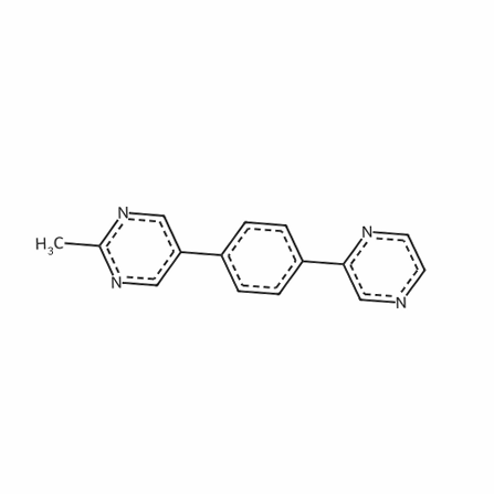 Cc1ncc(-c2ccc(-c3cnccn3)cc2)cn1